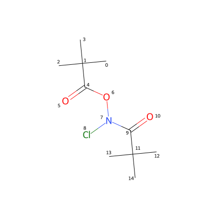 CC(C)(C)C(=O)ON(Cl)C(=O)C(C)(C)C